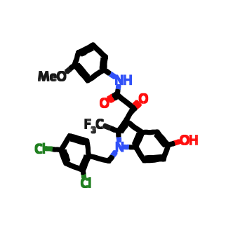 COc1cccc(NC(=O)C(=O)c2c(C(F)(F)F)n(Cc3ccc(Cl)cc3Cl)c3ccc(O)cc23)c1